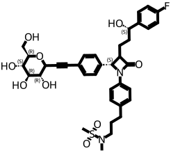 CN(CCCc1ccc(N2C(=O)C(CC[C@H](O)c3ccc(F)cc3)[C@H]2c2ccc(C#CC3O[C@H](CO)[C@@H](O)[C@H](O)[C@H]3O)cc2)cc1)S(C)(=O)=O